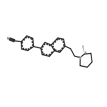 C[C@@H]1CCCCN1CCc1ccc2cc(-c3ccc(C#N)cc3)ccc2c1